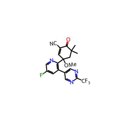 COC1(c2ncc(F)cc2-c2cnc(C(F)(F)F)nc2)C=C(C#N)C(=O)C(C)(C)C1